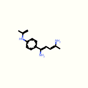 C=C(C)Nc1ccc(/C(N)=C/C=C(/C)N)cc1